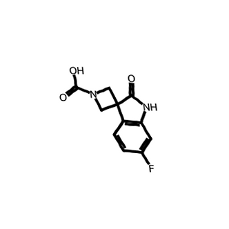 O=C(O)N1CC2(C1)C(=O)Nc1cc(F)ccc12